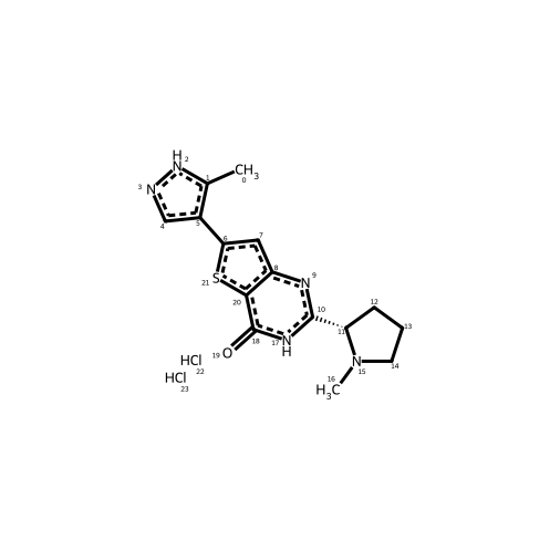 Cc1[nH]ncc1-c1cc2nc([C@@H]3CCCN3C)[nH]c(=O)c2s1.Cl.Cl